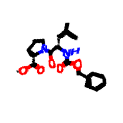 CC(C)C[C@H](NC(=O)OCc1ccccc1)C(=O)N1CCC[C@H]1C([O])=O